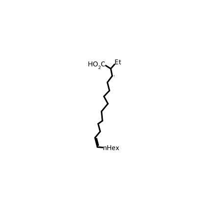 CCCCCC/C=C\CCCCCCCC[CH]C(CC)C(=O)O